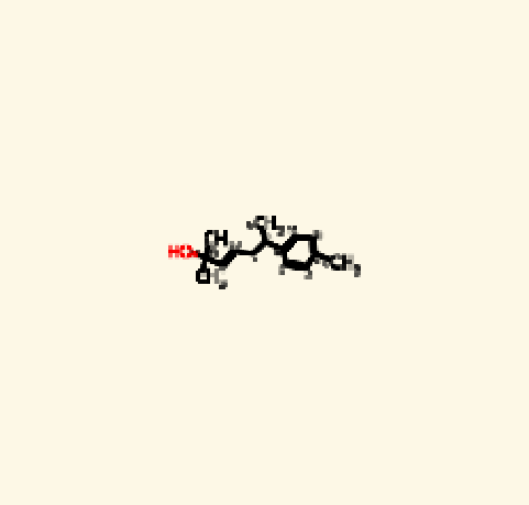 Cc1ccc(C(C)CC=CC(C)(C)O)cc1